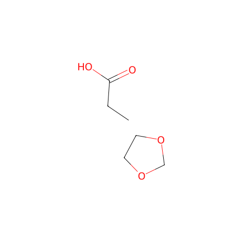 C1COCO1.CCC(=O)O